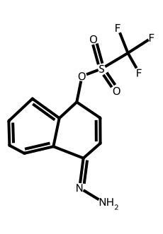 NN=C1C=CC(OS(=O)(=O)C(F)(F)F)c2ccccc21